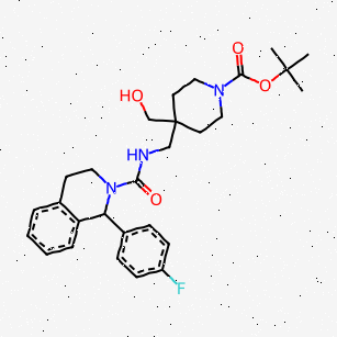 CC(C)(C)OC(=O)N1CCC(CO)(CNC(=O)N2CCc3ccccc3C2c2ccc(F)cc2)CC1